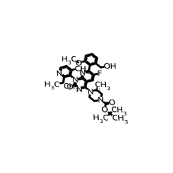 COc1cccc(CO)c1-c1nc2c(cc1F)c(N1CCN(C(=O)OC(C)(C)C)C[C@@H]1C)nc(=O)n2-c1c(C)ccnc1C(C)C